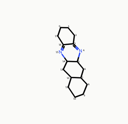 C1CCC2=NC3CC4CCCCC4CC3N=C2C1